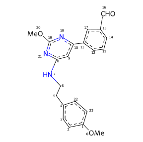 COc1ccc(CCNc2cc(-c3cccc(C=O)c3)nc(OC)n2)cc1